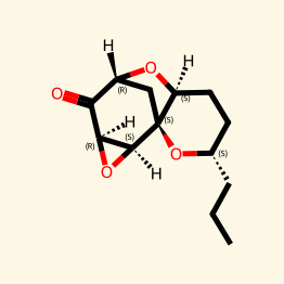 CCC[C@H]1CC[C@@H]2O[C@@H]3C[C@@]2(O1)[C@H]1O[C@H]1C3=O